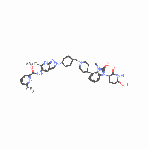 COc1nc2nn([C@H]3CC[C@H](CN4CCC(c5cccc6c5n(C)c(=O)n6C5CCC(O)NC5=O)CC4)CC3)cc2cc1NC(=O)c1cccc(C(F)(F)F)n1